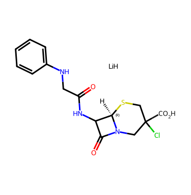 O=C(CNc1ccccc1)NC1C(=O)N2CC(Cl)(C(=O)O)CS[C@H]12.[LiH]